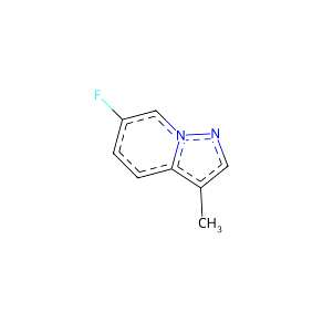 Cc1cnn2cc(F)ccc12